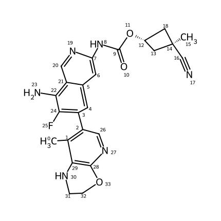 Cc1c(-c2cc3cc(NC(=O)O[C@H]4C[C@](C)(C#N)C4)ncc3c(N)c2F)cnc2c1NCCO2